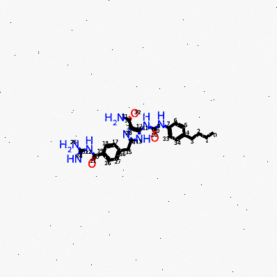 CCCCc1ccc(NC(=O)Nc2[nH]c(Cc3ccc(C(=O)NC(=N)N)cc3)nc2C(N)=O)cc1